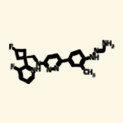 Cc1cc(-c2ccc(NC[C@]3(c4ncccc4F)C[C@H](F)C3)nn2)ccc1N/N=C/N